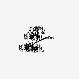 CCCCCCCCCCCCCCCCCCN(CCCNc1nc(N(CCCC)C2CC(C)(C)N(C)C(C)(C)C2)nc(N(CCCC)C2CC(C)(C)N(C)C(C)(C)C2)n1)CCCNc1nc(N(CCCC)C2CC(C)(C)N(C)C(C)(C)C2)nc(N(CCCC)C2CC(C)(C)N(C)C(C)(C)C2)n1